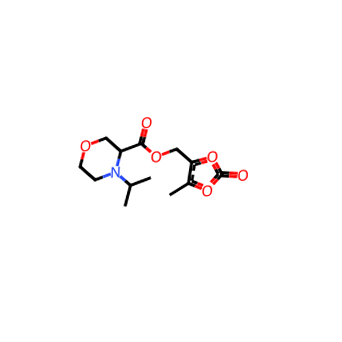 Cc1oc(=O)oc1COC(=O)C1COCCN1C(C)C